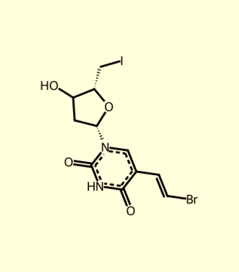 O=c1[nH]c(=O)n([C@@H]2CC(O)[C@H](CI)O2)cc1/C=C/Br